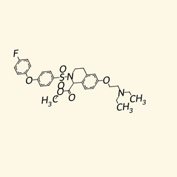 CCN(CC)CCOc1ccc2c(c1)CCN(S(=O)(=O)c1ccc(Oc3ccc(F)cc3)cc1)C2C(=O)OC